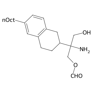 CCCCCCCCc1ccc2c(c1)CCC(C(N)(CO)COC=O)C2